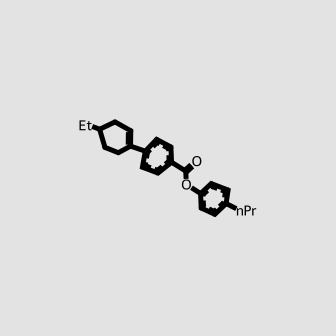 CCCc1ccc(OC(=O)c2ccc(C3=CCC(CC)CC3)cc2)cc1